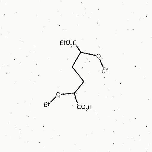 CCOC(=O)C(CCC(OCC)C(=O)O)OCC